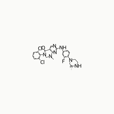 C[C@@H]1CN(c2ccc(Nc3ncc4c(n3)N(C)CN(c3c(Cl)cccc3Cl)C4=O)cc2F)CCN1